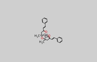 C[Si](C)(CC(=O)C=Cc1ccccc1)O[Si](C)(C)CC(=O)C=Cc1ccccc1